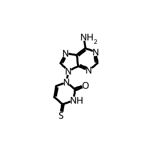 Nc1ncnc2c1ncn2-n1ccc(=S)[nH]c1=O